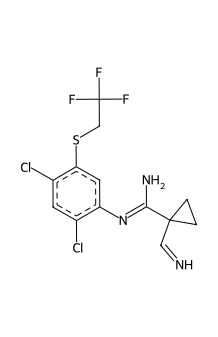 N=CC1(/C(N)=N/c2cc(SCC(F)(F)F)c(Cl)cc2Cl)CC1